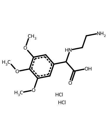 COc1cc(C(NCCN)C(=O)O)cc(OC)c1OC.Cl.Cl